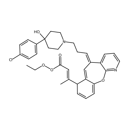 CCOOC(=O)C=C(C)C1C=CC=C2Oc3ncccc3/C(=C/CCN3CCC(O)(c4ccc(Cl)cc4)CC3)C=C21